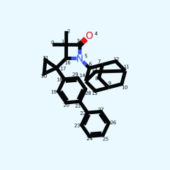 CC1(C)C(=O)N(C2C3CC4CC(C3)CC2C4)C1C1(c2ccc(-c3ccccc3)cc2)CC1